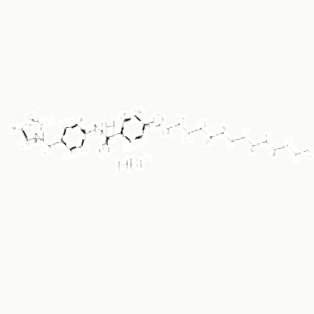 Br.CCCCCCCCCCCCCCOc1ccc(C(=O)Nc2ccc(CN3C=CSC3)cc2)cc1